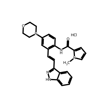 Cl.Cn1cccc1C(=O)Nc1ccc(N2CCOCC2)cc1C=Cc1n[nH]c2ccccc12